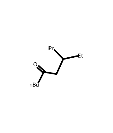 CCCCC(=O)CC(CC)C(C)C